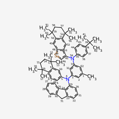 Cc1cc(N(c2ccc3c(c2)C(C)(C)CCC3(C)C)c2cccc3c2-c2ccccc2C3)cc(N(c2ccc(C(C)(C)C)cc2)c2csc3cc4c(cc23)C(C)(C)CCC4(C)C)c1